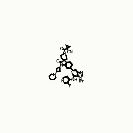 CC(C)n1cnc2cc(-c3ccc4c(c3)N([C@H]3C[C@@H](N5CCCCC5)C3)C(=O)C43CCN(C(=O)C4(C#N)CC4)CC3)nc(Nc3ccncc3F)c21